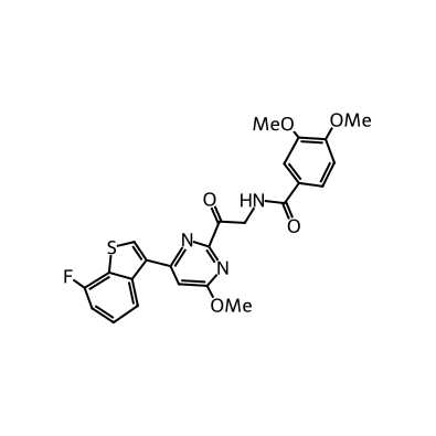 COc1cc(-c2csc3c(F)cccc23)nc(C(=O)CNC(=O)c2ccc(OC)c(OC)c2)n1